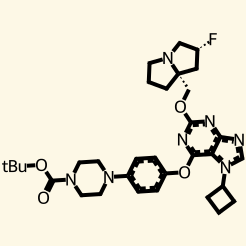 CC(C)(C)OC(=O)N1CCN(c2ccc(Oc3nc(OC[C@]45CCCN4C[C@H](F)C5)nc4ncn(C5CCC5)c34)cc2)CC1